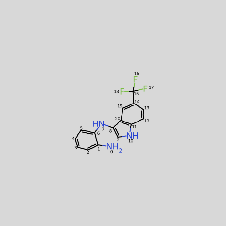 Nc1ccccc1Nc1c[nH]c2ccc(C(F)(F)F)cc12